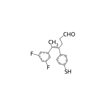 C/C(=C(\CCC=O)c1ccc(S)cc1)c1cc(F)cc(F)c1